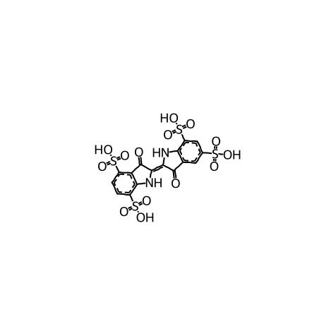 O=C1/C(=C2\Nc3c(S(=O)(=O)O)ccc(S(=O)(=O)O)c3C2=O)Nc2c1cc(S(=O)(=O)O)cc2S(=O)(=O)O